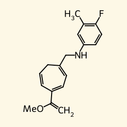 C=C(OC)C1=CC=C(CNc2ccc(F)c(C)c2)CC=C1